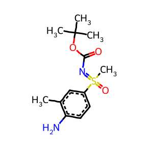 Cc1cc(S(C)(=O)=NC(=O)OC(C)(C)C)ccc1N